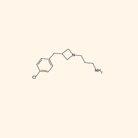 NCCCN1CC(Cc2ccc(Cl)cc2)C1